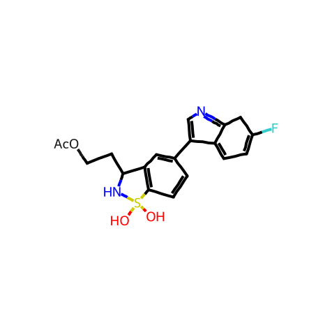 CC(=O)OCCC1NS(O)(O)c2ccc(C3=CN=C4CC(F)=CC=C34)cc21